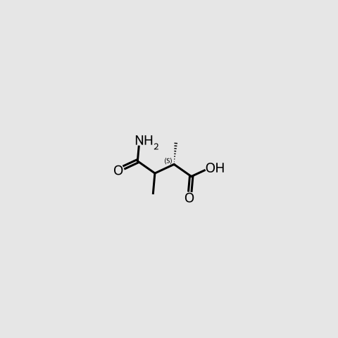 CC(C(N)=O)[C@H](C)C(=O)O